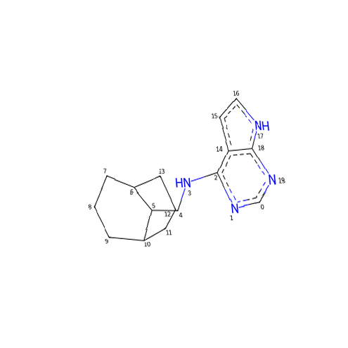 c1nc(NCC2C3CCCC2CCC3)c2cc[nH]c2n1